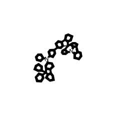 c1ccc(N(c2ccc(-c3ccc4c(c3)[C@]3(c5ccccc5-4)c4ccccc4-n4c5ccccc5c5cccc3c54)cc2)c2ccc3c(c2)C(c2ccccc2)(c2ccccc2)c2ccccc2-3)cc1